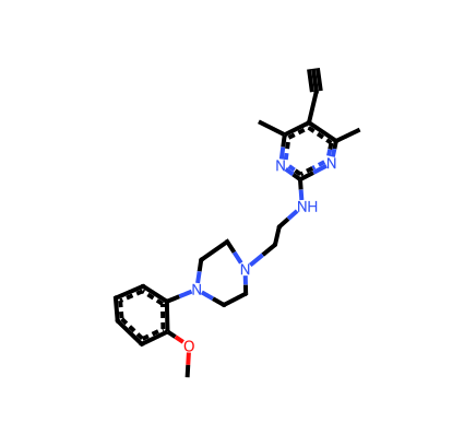 C#Cc1c(C)nc(NCCN2CCN(c3ccccc3OC)CC2)nc1C